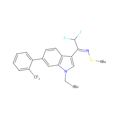 CC(C)(C)Cn1cc(/C(=N\SC(C)(C)C)C(F)F)c2ccc(-c3ccccc3C(F)(F)F)cc21